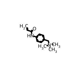 C=CC(=O)Nc1ccc(C[N+](C)(C)C)cc1